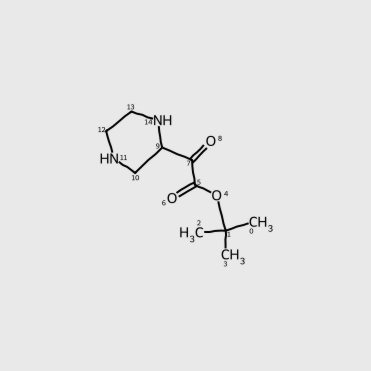 CC(C)(C)OC(=O)C(=O)C1CNCCN1